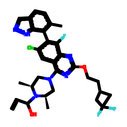 C=CC(O)N1[C@H](C)CN(c2nc(OCCC3CC(F)(F)C3)nc3c(F)c(-c4c(C)ccc5cn[nH]c45)c(Cl)cc23)C[C@@H]1C